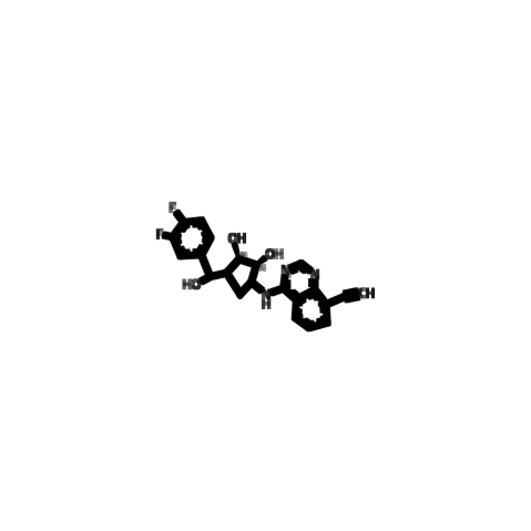 C#Cc1cccc2c(NC3CC(C(O)c4ccc(F)c(F)c4)[C@@H](O)[C@H]3O)ncnc12